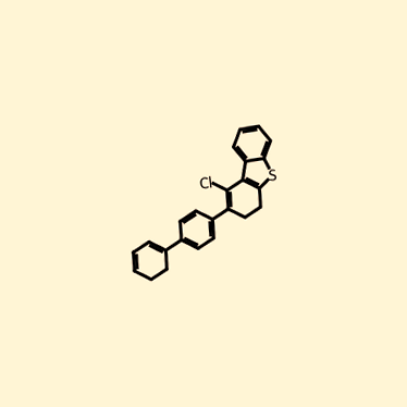 ClC1=C(c2ccc(C3=CC=CCC3)cc2)CCc2sc3ccccc3c21